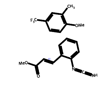 COC(=O)/C=C/c1ccccc1N=C=N.COc1ccc(C(F)(F)F)cc1C